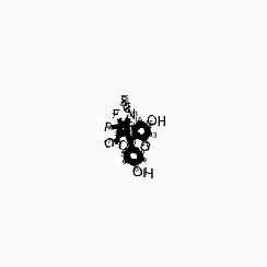 O=C1OC2(c3ccc(O)cc3Oc3cc(O)ccc32)c2c(F)c(N=C=S)c(F)c(F)c21